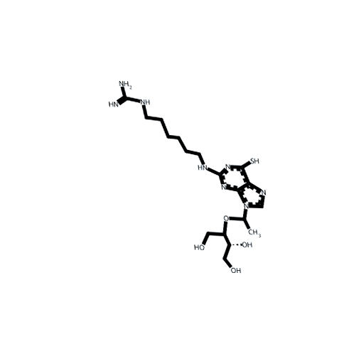 CC(OC(CO)[C@H](O)CO)n1cnc2c(S)nc(NCCCCCCNC(=N)N)nc21